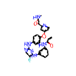 C=CC(=O)Nc1cccc(Nc2nc(Nc3ccc(Oc4ccnc(C5OC5NC)c4)cc3)ncc2F)c1